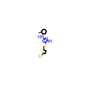 Cc1ccccc1Nc1n[nH]c(SCc2ccc(Cl)s2)n1